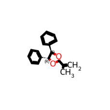 C=C(C)C1O[C@H](c2ccccc2)[C@@H](c2ccccc2)O1